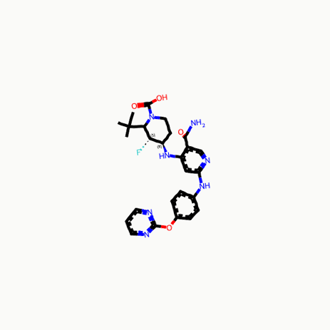 CC(C)(C)C1[C@@H](F)[C@H](Nc2cc(Nc3ccc(Oc4ncccn4)cc3)ncc2C(N)=O)CCN1C(=O)O